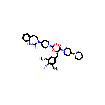 Bc1cc(C[C@@H](OC(=O)N2CCC(N3CCc4ccccc4NC3=O)CC2)C(=O)N2CCC(N3CCCCC3)CC2)cc(B)c1N